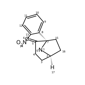 CN1[C@@H]2CCC(=O)[C@@]1(c1ccccc1[N+](=O)[O-])CC2